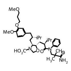 COCCCOc1cc(C[C@@H](C[C@H]2[C@H](C[C@H](C(=O)N(CC(C)(C)C(N)=O)c3ccccc3)C(C)C)OCN2C(=O)O)C(C)C)ccc1OC